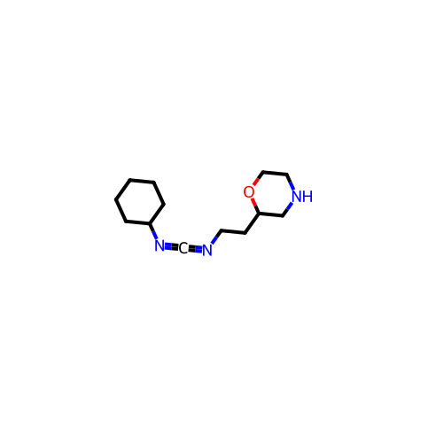 C(=NCCC1CNCCO1)=NC1CCCCC1